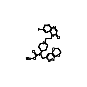 CC(C)(C)OC(=O)N(Cc1cc2c(nn1)OCCO2)C1CCN(CCn2c(=O)cnc3ccc(F)cc32)CC1